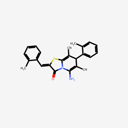 Cc1ccccc1C=c1sc2n(c1=O)C(N)=C(C#N)C(c1ccccc1C)C=2C#N